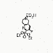 CCOP(=O)(OCC)c1nc2c(cc1F)CN(C(=O)O)CC2